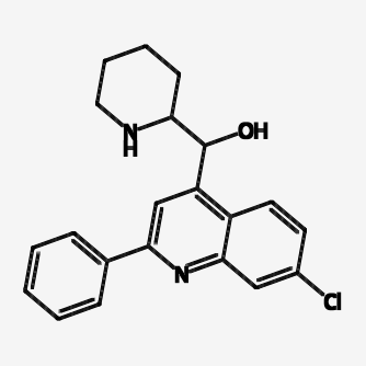 OC(c1cc(-c2ccccc2)nc2cc(Cl)ccc12)C1CCCCN1